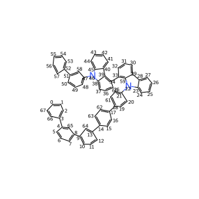 c1ccc(-c2cccc(-c3cccc(-c4ccc(-c5ccc(-n6c7ccccc7c7cccc(-c8cccc9c8c8ccccc8n9-c8cccc(-c9ccccc9)c8)c76)cc5)cc4)c3)c2)cc1